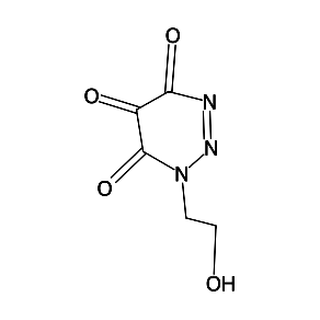 O=C1N=NN(CCO)C(=O)C1=O